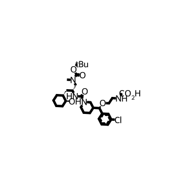 CN(C[C@@H](C[C@H]1CCCC[C@@H]1O)NC(=O)N1CCCC([C@@H](OCCNC(=O)O)c2cccc(Cl)c2)C1)C(=O)OC(C)(C)C